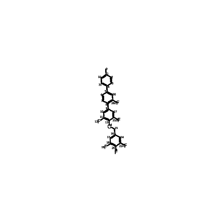 Cc1ccc(-c2ccc(-c3cc(F)c(OCc4cc(F)c(F)c(F)c4)c(F)c3)c(F)c2)cc1